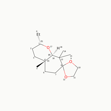 CC[C@H]1CC[C@@]2(C)CCC3(OCCO3)C(C)(C)[C@@H]2O1